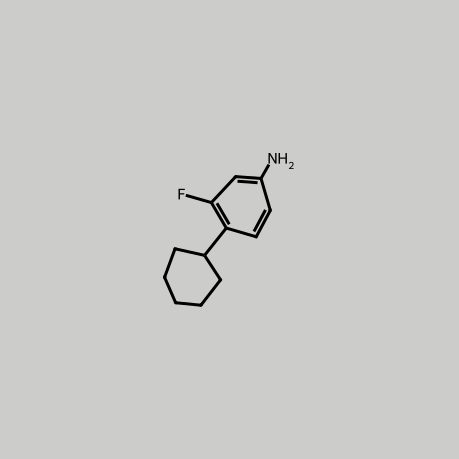 Nc1ccc(C2CCCCC2)c(F)c1